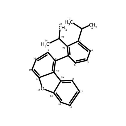 CC(C)c1cc[c]c(-c2cccc3oc4ccccc4c23)c1C(C)C